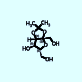 CC1(C)O[C@H]2[C@H](O)[C@@H](CO)O[C@@]2(CO)O1